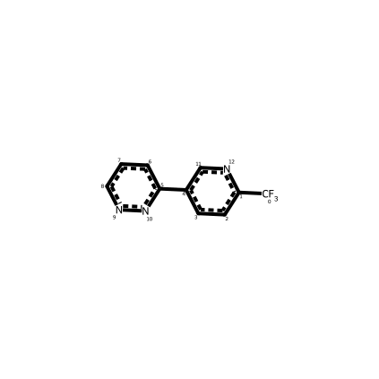 FC(F)(F)c1ccc(-c2cccnn2)cn1